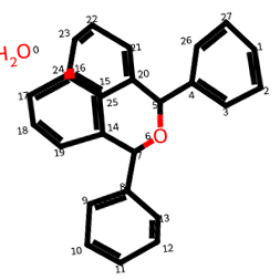 O.c1ccc(C(OC(c2ccccc2)c2ccccc2)c2ccccc2)cc1